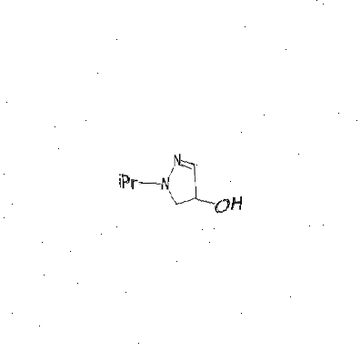 CC(C)N1CC(O)C=N1